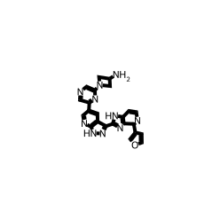 NC1CN(c2cncc(-c3cnc4[nH]nc(-c5nc6c(-c7ccoc7)nccc6[nH]5)c4c3)n2)C1